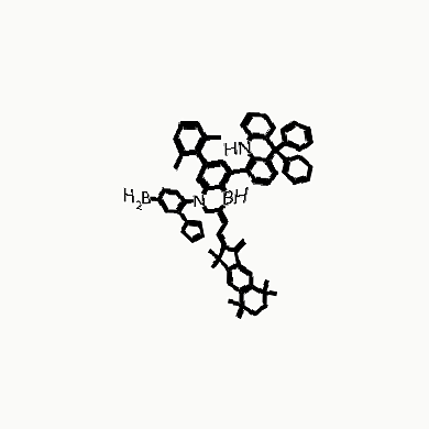 Bc1ccc(N2C/C(=C\C=C3/C(=C)c4cc5c(cc4C3(C)C)C(C)(C)CCC5(C)C)Bc3c(-c4cccc5c4NC4=C(CCC=C4)C5(C4=CC=CCC4)c4ccccc4)cc(-c4c(C)cccc4C)cc32)c(C2=CC=CC2)c1